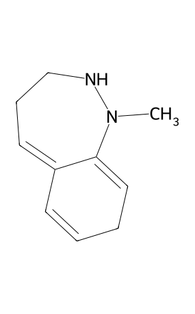 CN1NCCC=C2C=CCC=C21